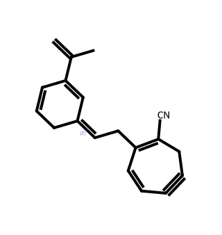 C=C(C)C1=C/C(=C\CC2=C(C#N)CC#CC=C2)CC=C1